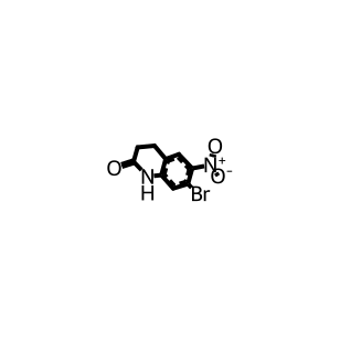 O=C1CCc2cc([N+](=O)[O-])c(Br)cc2N1